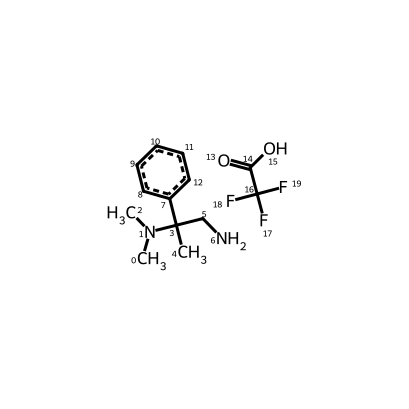 CN(C)C(C)(CN)c1ccccc1.O=C(O)C(F)(F)F